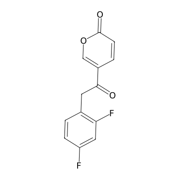 O=C(Cc1ccc(F)cc1F)c1ccc(=O)oc1